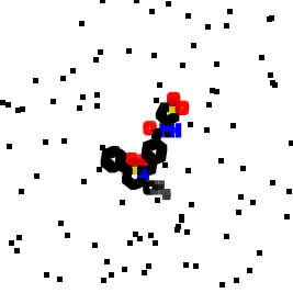 C[C@H]1CCC(c2ccccc2)S(=O)(=O)N1Cc1ccc(C(=O)NC2CCS(=O)(=O)C2)cc1